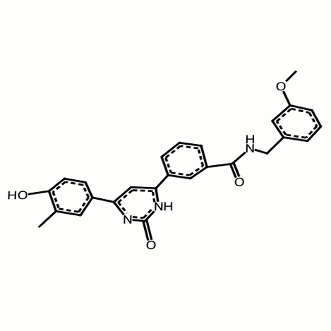 COc1cccc(CNC(=O)c2cccc(-c3cc(-c4ccc(O)c(C)c4)nc(=O)[nH]3)c2)c1